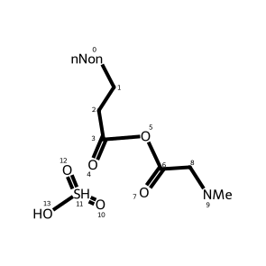 CCCCCCCCCCCC(=O)OC(=O)CNC.O=[SH](=O)O